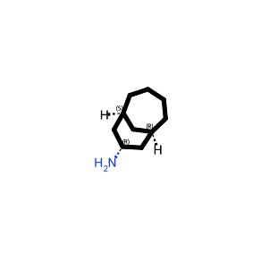 N[C@@H]1C[C@H]2CCCC[C@@H](C1)C2